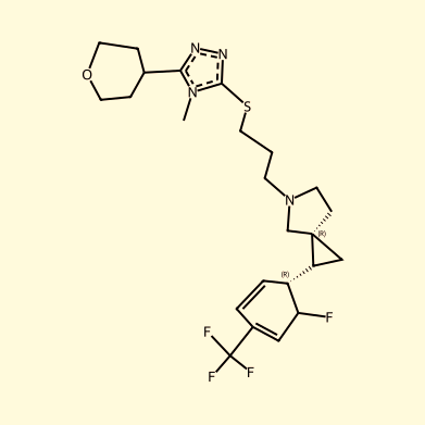 Cn1c(SCCCN2CC[C@@]3(CC3[C@H]3C=CC(C(F)(F)F)=CC3F)C2)nnc1C1CCOCC1